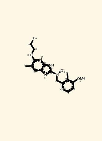 COc1ccnc(C[S+]([O-])c2nc3cc(C)c(OCCF)nc3[nH]2)c1C